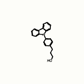 OCCCc1ccc(-n2c3ccccc3c3ccccc32)cc1